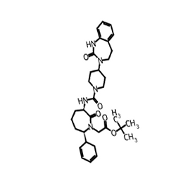 CC(C)(C)OC(=O)CN1C(=O)[C@H](NC(=O)N2CCC(N3CCc4ccccc4NC3=O)CC2)CCC[C@@H]1C1C=CC=CC1